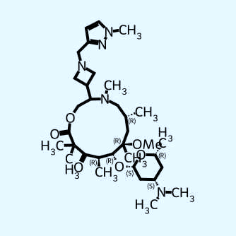 CO[C@]1(C)C[C@@H](C)CN(C)C(C2CN(Cc3ccn(C)n3)C2)COC(=O)C(C)(C)C(=O)[C@H](C)[C@H]1O[C@H]1C[C@@H](N(C)C)C[C@@H](C)O1